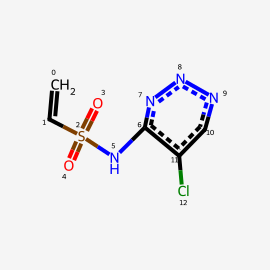 C=CS(=O)(=O)Nc1nnncc1Cl